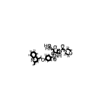 Cc1cc(COc2ccc(S(=O)(=O)NC3(CC(=O)NO)CN(C(=O)N4CCOCC4)C3)cc2)c2ccccc2n1